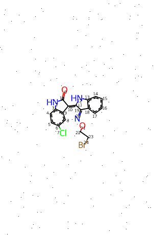 O=C1Nc2ccc(Cl)cc2/C1=C1/Nc2ccccc2/C1=N\OCCBr